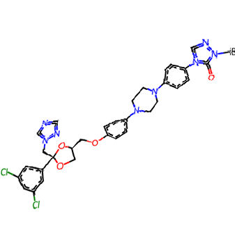 CCC(C)n1ncn(-c2ccc(N3CCN(c4ccc(OC[C@H]5CO[C@](Cn6cncn6)(c6cc(Cl)cc(Cl)c6)O5)cc4)CC3)cc2)c1=O